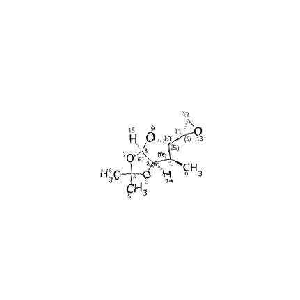 C[C@H]1[C@H]2OC(C)(C)O[C@H]2O[C@@H]1[C@@H]1CO1